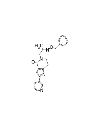 CC(CN1CCc2nn(-c3cccnc3)cc2C1=O)=NOCc1ccccc1